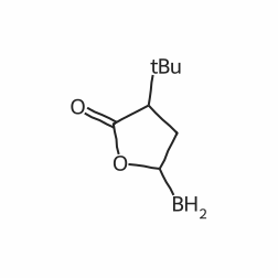 BC1CC(C(C)(C)C)C(=O)O1